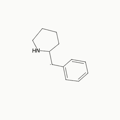 [CH](c1ccccc1)C1CCCCN1